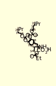 CCC(=O)O[C@@H](C)CC(N)(Cc1ccc(OC(=O)OCCC(C)C)c(OC(=O)OCCC(C)C)c1)C(=O)O